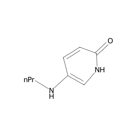 CCCNc1ccc(=O)[nH]c1